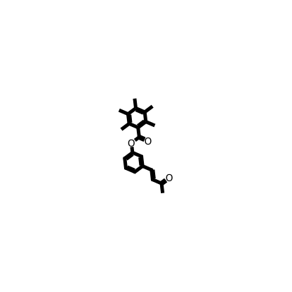 CC(=O)/C=C/c1cccc(OC(=O)c2c(C)c(C)c(C)c(C)c2C)c1